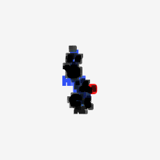 C=CCn1c(=O)c2cnc(Nc3ccc(N4CCN(C)CC4)c(C)c3)nc2n1-c1cccc(C(C)=O)n1